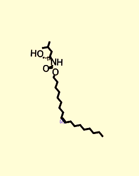 CCCCCCCC/C=C\CCCCCCCCOC(=O)N[C@H](CO)CC(C)C